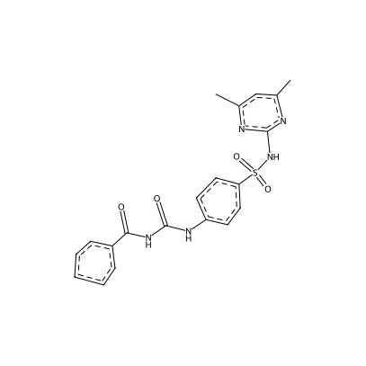 Cc1cc(C)nc(NS(=O)(=O)c2ccc(NC(=O)NC(=O)c3ccccc3)cc2)n1